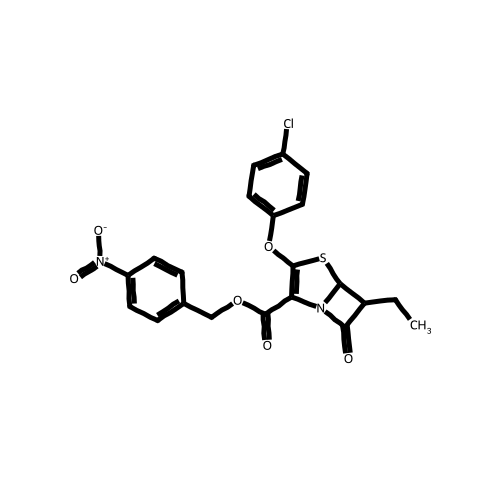 CCC1C(=O)N2C(C(=O)OCc3ccc([N+](=O)[O-])cc3)=C(Oc3ccc(Cl)cc3)SC12